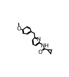 COc1ccc(Cc2cccc(NC(=O)C3CC3)n2)cc1